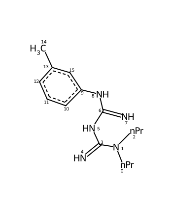 CCCN(CCC)C(=N)NC(=N)Nc1cccc(C)c1